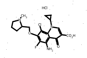 CN1CCCC1COc1c(F)c(N)c2c(=O)c(C(=O)O)cn(C3CC3)c2c1Cl.Cl